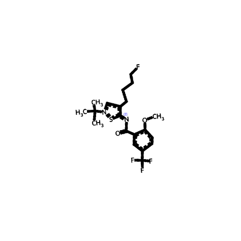 COc1ccc(C(F)(F)F)cc1C(=O)/N=c1\sn(C(C)(C)C)cc1CCCCF